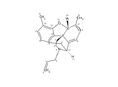 C=CCN1CC[C@]23C4=CC=C(C)[C@H]2Oc2c(C)ccc(c23)C[C@@H]41